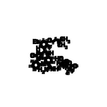 CCc1cc(OCCN(C)C)c(F)c(C(Nc2ccc(C(=N)N)cc2)c2nn(-c3ccccc3N)c(=O)[nH]2)c1.O=C(O)C(F)(F)F.O=C(O)C(F)(F)F